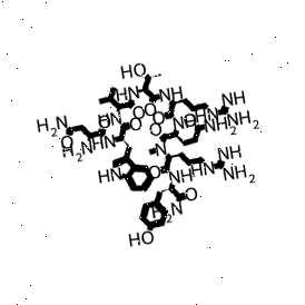 CC(C)[C@H](NC(=O)[C@H](Cc1c[nH]c2ccccc12)NC(=O)[C@@H](N)CC(N)=O)C(=O)N[C@H](C(=O)N[C@@H](CCCNC(=N)N)C(=O)N[C@@H](CCC(N)=O)C(=O)N(C)[C@@H](CCCNC(=N)N)C(=O)N[C@@H](Cc1ccc(O)cc1)C(N)=O)[C@@H](C)O